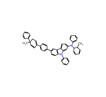 CC1C=CC=CC1N(c1ccccc1)c1ccc2c3cc(-c4ccc(C5=CCC(C)(c6ccccc6)C=C5)cc4)ccc3n(-c3ccccc3)c2c1